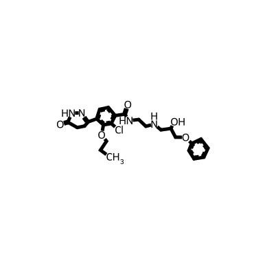 CCCOc1c(C2=NNC(=O)CC2)ccc(C(=O)NCCNCC(O)COc2ccccc2)c1Cl